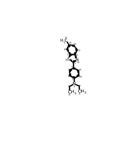 CCN(CC)c1ccc(-c2nc3ccc(C)cc3s2)cc1